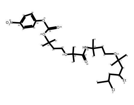 CCC(CC(C)Cl)CC(C)(C)OCCC(C)(C)NC(=O)C(C)(C)OCCC(C)(C)OC(=O)Oc1ccc([N+](=O)[O-])cc1